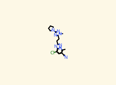 Cc1c(C#N)cc(Cl)c2nc(CCc3nc(N4CCCC4)nn3C)nn12